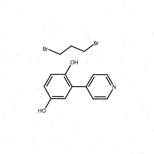 BrCCCBr.Oc1ccc(O)c(-c2ccncc2)c1